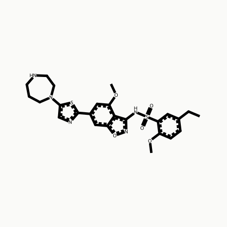 CCc1ccc(OC)c(S(=O)(=O)Nc2noc3cc(-c4ncc(N5CCCNCC5)s4)cc(OC)c23)c1